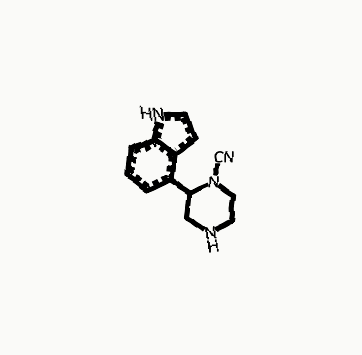 N#CN1CCNCC1c1cccc2[nH]ccc12